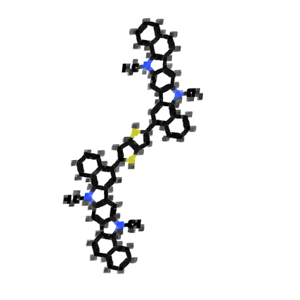 Cn1c2cc3c4cc(-c5cc6sc(-c7cc8c9cc%10c(cc9n(C)c8c8ccccc78)c7ccc8ccccc8c7n%10C)cc6s5)c5ccccc5c4n(C)c3cc2c2ccc3ccccc3c21